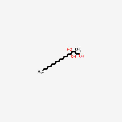 CCCCCCCCCCCCCC[C@@H](O)[C@@H](O)[C@@H](C)CCO